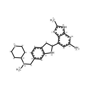 Cc1nc2c(C3Cc4ccc(CN(C)C5CCOCC5)cc4N3)cc(N)nc2[nH]1